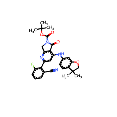 CC(C)(C)OC(=O)N1Cc2nc(-c3c(F)cccc3C#N)cc(Nc3ccc4c(c3)OCC4(C)C)c2C1=O